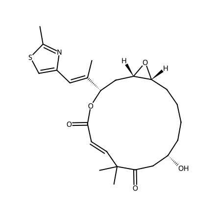 C/C(=C\c1csc(C)n1)[C@@H]1C[C@@H]2O[C@@H]2CCCC[C@H](O)CC(=O)C(C)(C)/C=C/C(=O)O1